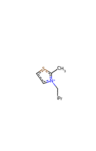 Cc1scc[n+]1CC(C)C